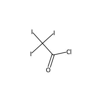 O=C(Cl)C(I)(I)I